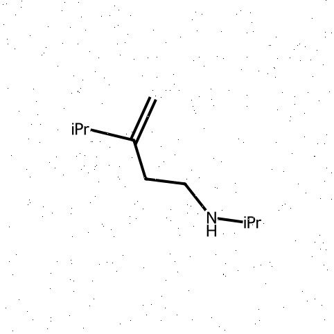 C=C(CCNC(C)C)C(C)C